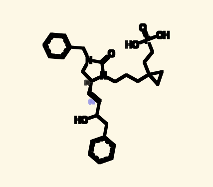 O=C1N(Cc2ccccc2)C[C@H](/C=C/C(O)Cc2ccccc2)N1CCCC1(CCP(=O)(O)O)CC1